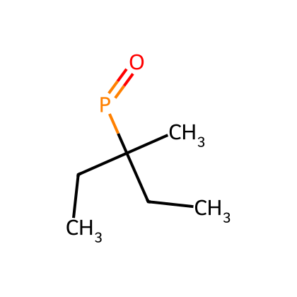 CCC(C)(CC)P=O